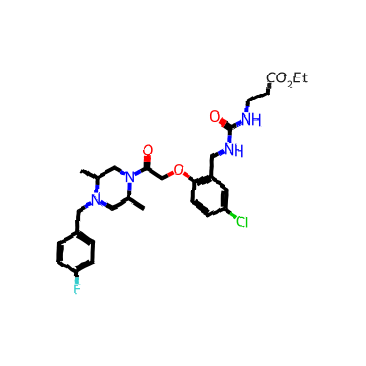 CCOC(=O)CCNC(=O)NCc1cc(Cl)ccc1OCC(=O)N1CC(C)N(Cc2ccc(F)cc2)CC1C